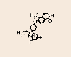 CCC(N)[C@]1(C2C=C(F)C=C(F)C2)CC[C@H](Oc2ccc3c(=O)[nH]ccc3c2C)CC1